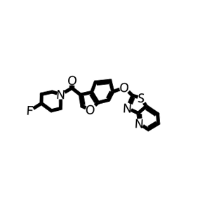 O=C(c1coc2cc(Oc3nc4ncccc4s3)ccc12)N1CCC(F)CC1